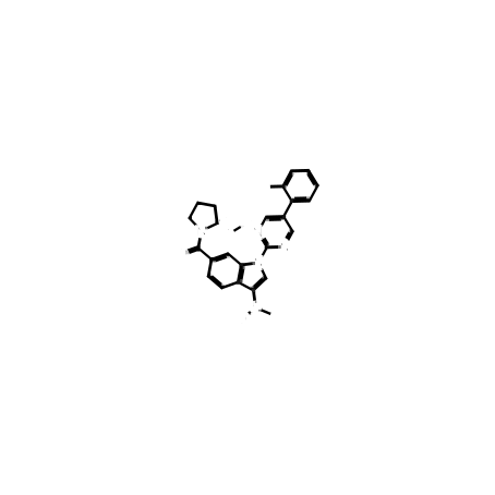 C[S+]([O-])c1cn(-c2ncc(-c3ccccc3F)cn2)c2cc(C(=O)N3CCC[C@@H]3CO)ccc12